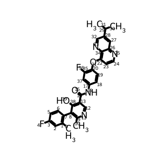 Cc1cc(F)ccc1-c1c(C)ncc(C(=O)Nc2ccc(Oc3ccnc4cc(C(C)C)cnc34)c(F)c2)c1O